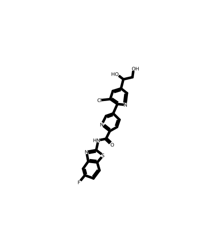 O=C(Nc1nc2cc(F)ccc2s1)c1ccc(-c2ncc(C(O)CO)cc2Cl)cn1